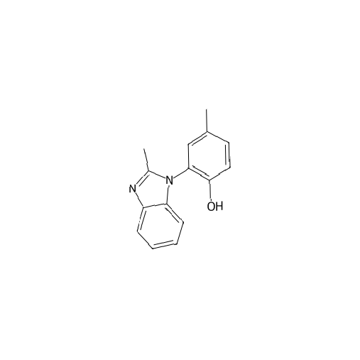 Cc1ccc(O)c(-n2c(C)nc3ccccc32)c1